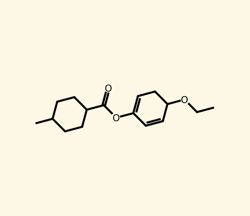 CCOC1C=CC(OC(=O)C2CCC(C)CC2)=CC1